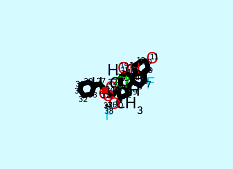 C[C@@H]1C[C@H]2[C@@H]3C[C@H](F)C4=CC(=O)C=C[C@]4(C)[C@@]3(Cl)[C@@H](O)C[C@]2(C)[C@@]1(OC(=O)CC1CCCCC1)C(=O)OCF